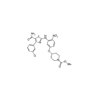 CC(C)(C)OC(=O)N1CCC(Oc2ccc([N+](=O)[O-])c(Nc3nc(-c4cccc(Cl)c4)c(C(N)=O)s3)c2)CC1